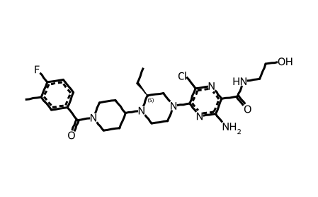 CC[C@H]1CN(c2nc(N)c(C(=O)NCCO)nc2Cl)CCN1C1CCN(C(=O)c2ccc(F)c(C)c2)CC1